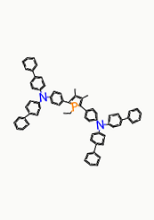 CCp1c(-c2ccc(N(c3ccc(-c4ccccc4)cc3)c3ccc(-c4ccccc4)cc3)cc2)c(C)c(C)c1-c1ccc(N(c2ccc(-c3ccccc3)cc2)c2ccc(-c3ccccc3)cc2)cc1